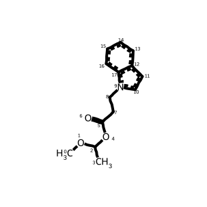 COC(C)OC(=O)CCn1ccc2ccccc21